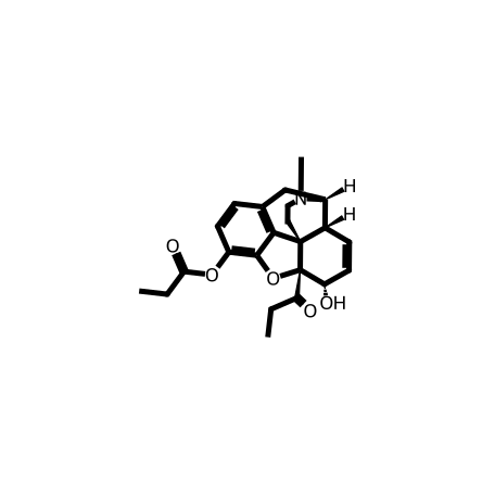 CCC(=O)Oc1ccc2c3c1O[C@@]1(C(=O)CC)[C@@H](O)C=C[C@H]4[C@@H](C2)N(C)CC[C@@]341